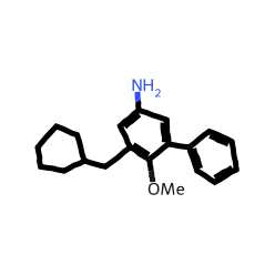 COc1c(CC2CCCCC2)cc(N)cc1-c1ccccc1